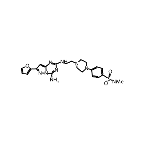 CNS(=O)(=O)c1ccc(N2CCN(CCNc3nc(N)n4nc(-c5ccco5)cc4n3)CC2)cc1